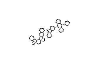 c1ccc(-c2c3ccccc3c(-c3ccc4sc5c(-c6c7ccccc7cc7c6oc6ccc8sc9ccccc9c8c67)cccc5c4c3)c3ccccc23)cc1